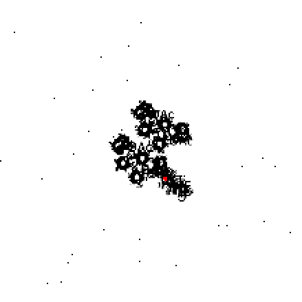 CC(=O)OC(Oc1ccccc1[S+](c1ccccc1)c1ccccc1OC(OC(C)=O)C12CC3CC(CC(C3)C1C)C2)C12CC3CC(CC(C3)C1C)C2.CC(=O)OC(Oc1ccccc1[S+](c1ccccc1)c1ccccc1OC(OC(C)=O)C12CC3CC(CC(C3)C1C)C2)C12CC3CC(CC(C3)C1C)C2.O=S(=O)([O-])C(F)(F)C(F)(F)C(F)(F)S(=O)(=O)[O-]